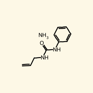 C=CCNC(=O)Nc1ccccc1.N